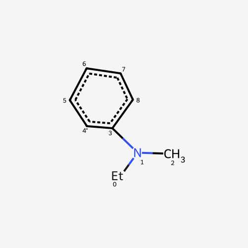 CCN(C)c1[c]cccc1